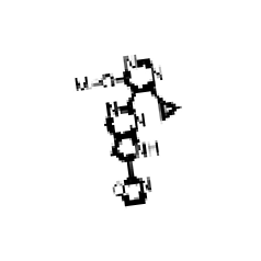 COc1ncnc(C2CC2)c1-c1ncc2cc(-c3ncco3)[nH]c2n1